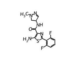 CN1CC(NC(=O)c2nc(-c3c(F)cccc3F)sc2N)C=N1